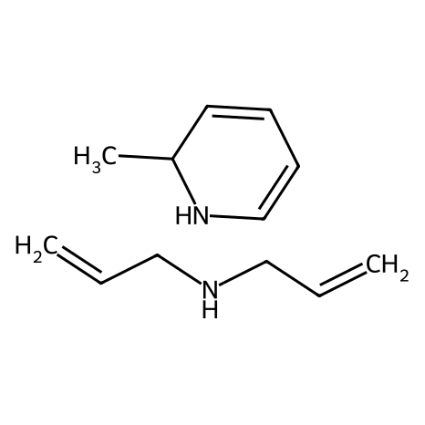 C=CCNCC=C.CC1C=CC=CN1